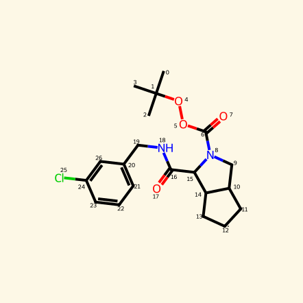 CC(C)(C)OOC(=O)N1CC2C[CH]CC2C1C(=O)NCc1cccc(Cl)c1